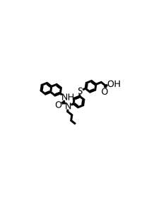 CCCCN(C(=O)Nc1ccc2ccccc2c1)c1cccc(Sc2ccc(CC(=O)O)cc2)c1